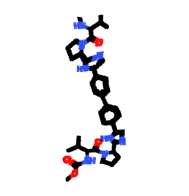 CN[C@H](C(=O)N1CCCC1c1ncc(-c2ccc(-c3ccc(-c4cnc(C5CCCN5C(=O)[C@@H](NC(=O)OC)C(C)C)[nH]4)cc3)cc2)[nH]1)C(C)C